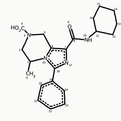 CC1CN(C(=O)O)Cc2c(C(=O)NC3CCCCC3)nc(-c3ccccc3)n21